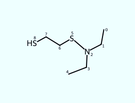 CCN(CC)SCCS